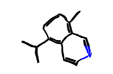 Cc1ccc(C(C)C)c2ccncc12